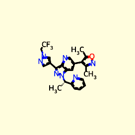 Cc1noc(C)c1-c1cnc2c(-c3cnn(CC(F)(F)F)c3)nn([C@@H](C)c3ccccn3)c2c1